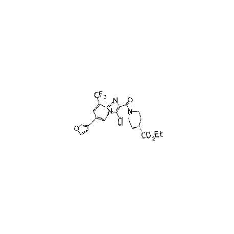 CCOC(=O)C1CCN(C(=O)c2nc3c(C(F)(F)F)cc(-c4ccoc4)cn3c2Cl)CC1